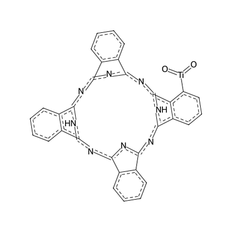 [O]=[Ti](=[O])[c]1cccc2c3nc4nc(nc5[nH]c(nc6nc(nc([nH]3)c12)-c1ccccc1-6)c1ccccc51)-c1ccccc1-4